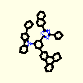 c1ccc(-c2ccc3c4ccccc4n(-c4cc(-c5ccc6c7ccccc7c7ccccc7c6c5)cc(-c5nc(-c6ccccc6)nc(-c6ccc7ccccc7c6)n5)c4)c3c2)cc1